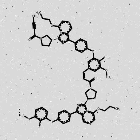 CC#CC(=O)N1CC[C@@H](c2nc(-c3ccc(Oc4cc(/C=C\C(=O)N5CC[C@@H](c6nc(-c7ccc(Oc8cccc(OC)c8F)cc7)c7cncc(OCCC)n67)C5)cc(OC)c4F)cc3)c3cncc(OCCC)n23)C1